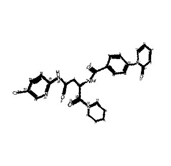 O=C(CC(NC(=O)c1ccc(-n2ccccc2=O)cc1)C(=O)N1CCCCC1)Nc1ccc(Cl)cn1